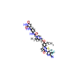 CCc1cc(N2C(=S)N(c3cnc(C#N)c(C(F)(F)F)c3)C(=O)C23CCC3)ccc1OCCN1CCN(CC(=O)Nc2cccc(NC3CCC(=O)NC3=O)c2)C(C)(C)C1